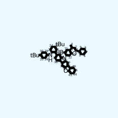 C=C1C=C(c2ccccc2)Oc2cc3c(cc21)Bc1c(-c2cc(C(C)(C)C)ccc2Nc2ccc(C(C)(C)C)cc2)ccc2c4cc5oc6ccccc6c5cc4n-3c12